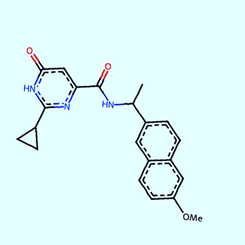 COc1ccc2cc(C(C)NC(=O)c3cc(=O)[nH]c(C4CC4)n3)ccc2c1